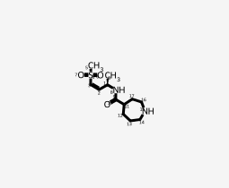 C[C@H](/C=C\S(C)(=O)=O)NC(=O)C1CCCNCC1